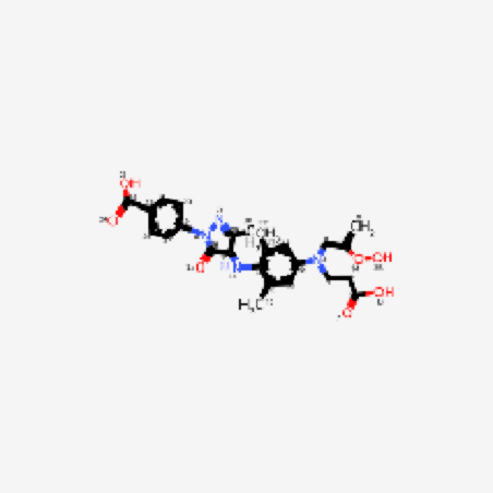 C=C(CN(CCC(=O)O)c1cc(C)c(/N=C2/C(=O)N(c3ccc(C(=O)O)cc3)N=C2C)c(C)c1)OO